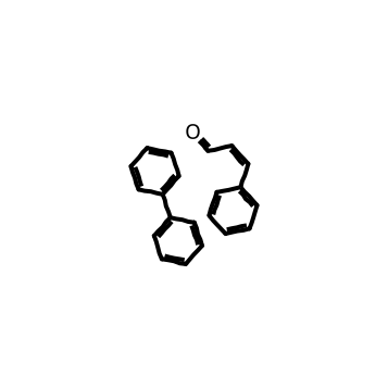 O=C/C=C\c1ccccc1.c1ccc(-c2ccccc2)cc1